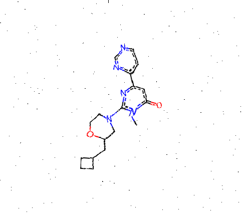 Cn1c(N2CCOC(CC3CCC3)C2)nc(-c2ccncn2)cc1=O